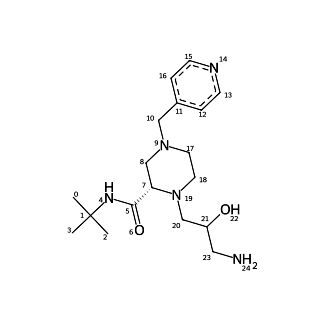 CC(C)(C)NC(=O)[C@@H]1CN(Cc2ccncc2)CCN1CC(O)CN